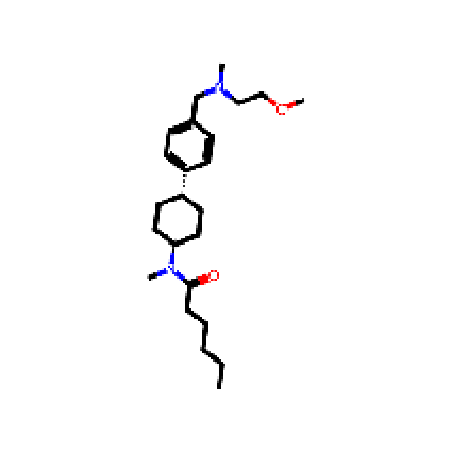 CCCCCC(=O)N(C)[C@H]1CC[C@H](c2ccc(CN(C)CCOC)cc2)CC1